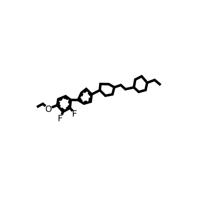 CCOc1ccc(-c2ccc(C3CCC(CCC4CCC(CC)CC4)CC3)cc2)c(F)c1F